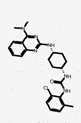 Cc1cccc(Cl)c1NC(=O)N[C@H]1CC[C@@H](Nc2nc(N(C)C)c3ccccc3n2)CC1